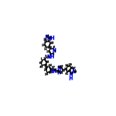 c1cc(CNc2cncc(-c3ccc4cn[nH]c4c3)c2)cc(-c2cccc(CNc3ncc(-c4ccc5cn[nH]c5c4)cn3)c2)c1